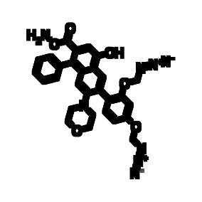 [N-]=[N+]=NCOc1ccc(-c2cc3c(O)cc(C(=O)ON)c(-c4ccccc4)c3cc2N2CCOCC2)c(OCN=[N+]=[N-])c1